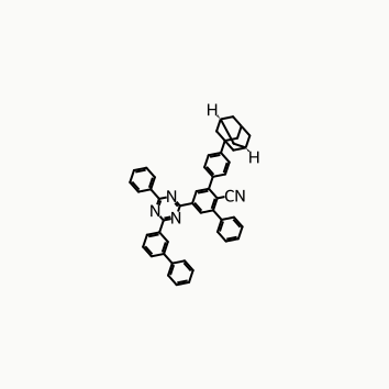 N#Cc1c(-c2ccccc2)cc(-c2nc(-c3ccccc3)nc(-c3cccc(-c4ccccc4)c3)n2)cc1-c1ccc(C23CC4C[C@H](C2)C[C@@H](C4)C3)cc1